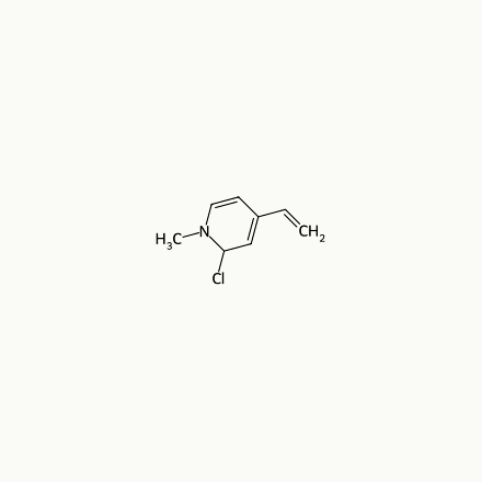 C=CC1=CC(Cl)N(C)C=C1